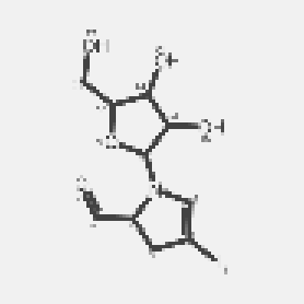 O=CC1CC(I)=CN1C1OC(CO)C(O)C1O